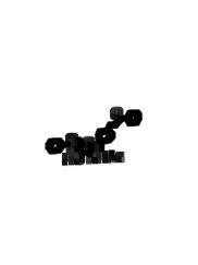 CC(=O)NC1C(Oc2ccc(C=CC(=O)c3ccccc3)cc2)OC2COC(c3ccccc3)OC2C1O